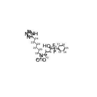 O=C1OC[C@H](C=C[C@H](O)C(F)(F)c2ccccc2)N1CCCCCCc1nnn[nH]1